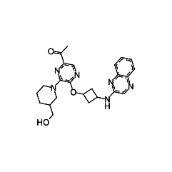 CC(=O)c1cnc(OC2CC(Nc3cnc4ccccc4n3)C2)c(N2CCCC(CO)C2)n1